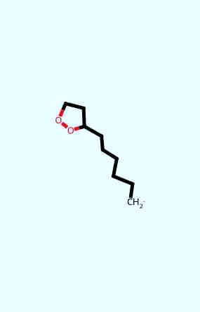 [CH2]CCCCCC1CCOO1